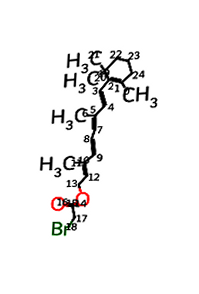 CC1=C(/C=C/C(C)=C/C=C/C(C)=C/COC(=O)CBr)C(C)(C)CCC1